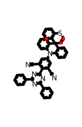 N#Cc1cc(N2c3ccccc3C3(c4ccccc4Sc4ccccc43)c3ccccc32)cc(C#N)c1-c1nc(-c2ccccc2)nc(-c2ccccc2)n1